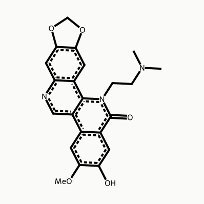 COc1cc2c(cc1O)c(=O)n(CCN(C)C)c1c3cc4c(cc3ncc21)OCO4